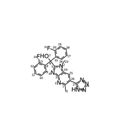 Cc1nc2nc(C(O)(c3ccccc3F)c3ccccc3F)n(C)c2cc1-c1nnn[nH]1